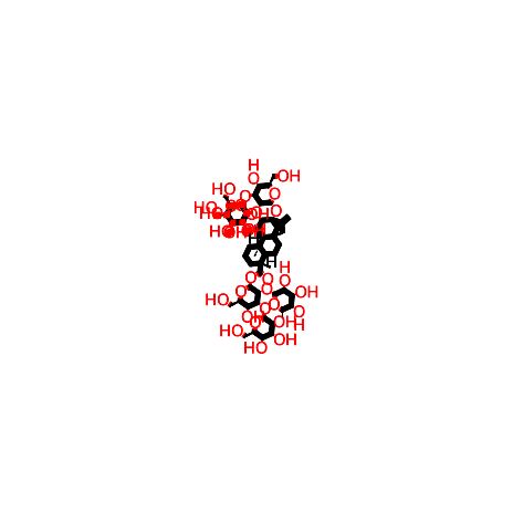 C=C1C[C@@]23CC[C@H]4[C@@](C)(CCC[C@@]4(C)C(=O)O[C@@H]4O[C@H](CO)[C@@H](O)[C@H](O[C@@H]5O[C@H](CO)[C@@H](O)[C@H](O)[C@H]5O)[C@H]4O[C@@H]4O[C@@H](C)[C@H](O)[C@@H](O)[C@H]4O)[C@@H]2CC[C@]1(O[C@@H]1O[C@H](CO)[C@@H](O)[C@H](O[C@@H]2O[C@H](CO)[C@@H](O)[C@H](O)[C@H]2O)[C@H]1O[C@@H]1O[C@H](CO)[C@@H](O)[C@H](O)[C@H]1O)C3